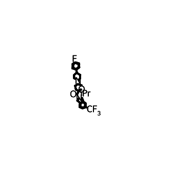 CC(C)[C@]1(C(=O)N2Cc3ccc(C(F)(F)F)cc3C2)CC[C@@H](N2CCC(c3ccc(F)cc3)CC2)CO1